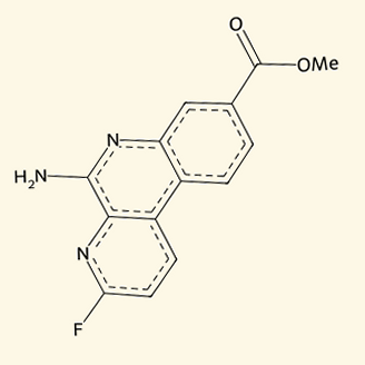 COC(=O)c1ccc2c(c1)nc(N)c1nc(F)ccc12